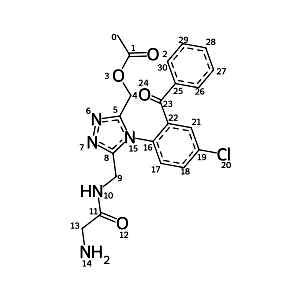 CC(=O)OCc1nnc(CNC(=O)CN)n1-c1ccc(Cl)cc1C(=O)c1ccccc1